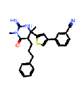 CN1C(=N)NC(C)(c2cc(-c3cccc(C#N)c3)cs2)C(CCCc2ccccc2)C1=O